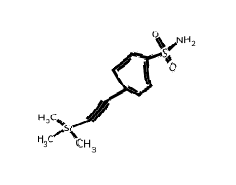 C[Si](C)(C)C#Cc1ccc(S(N)(=O)=O)cc1